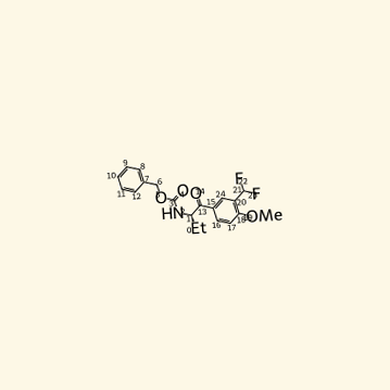 CC[C@@H](NC(=O)OCc1ccccc1)C(=O)c1ccc(OC)c(C(F)F)c1